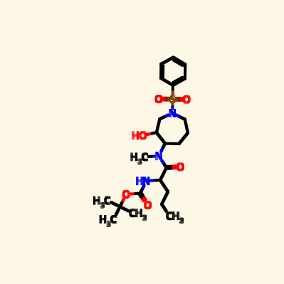 CCCC(NC(=O)OC(C)(C)C)C(=O)N(C)C1CCCN(S(=O)(=O)c2ccccc2)CC1O